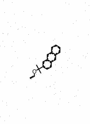 C=COC(C)(C)c1ccc2cc3ccccc3cc2c1